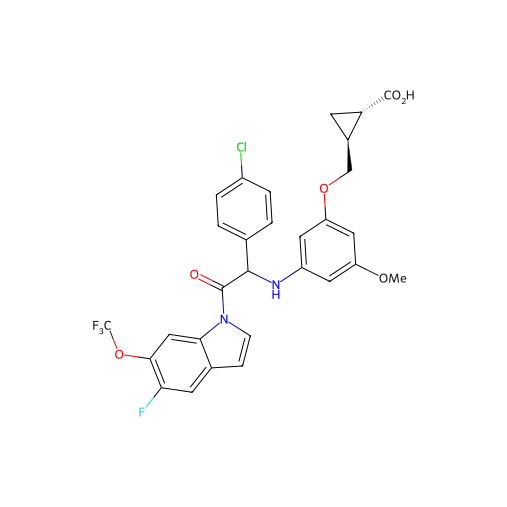 COc1cc(NC(C(=O)n2ccc3cc(F)c(OC(F)(F)F)cc32)c2ccc(Cl)cc2)cc(OC[C@H]2C[C@@H]2C(=O)O)c1